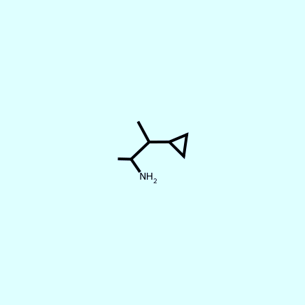 CC(N)C(C)C1CC1